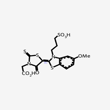 COc1ccc2c(c1)N(CCCS(=O)(=O)O)/C(=C1\SC(=S)N(CC(=O)O)C1=O)S2